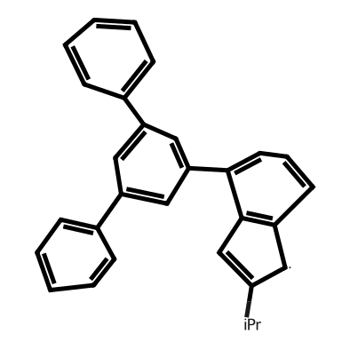 CC(C)C1=Cc2c(cccc2-c2cc(-c3ccccc3)cc(-c3ccccc3)c2)[CH]1